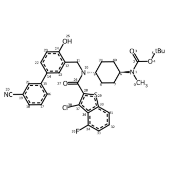 CN(C(=O)OC(C)(C)C)[C@H]1CC[C@H](N(Cc2cc(-c3cccc(C#N)c3)ccc2O)C(=O)c2sc3cccc(F)c3c2Cl)CC1